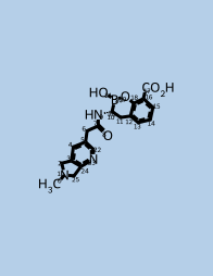 CN1Cc2cc(CC(=O)N[C@H]3Cc4cccc(C(=O)O)c4OB3O)cnc2C1